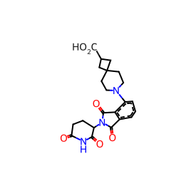 O=C1CCC(N2C(=O)c3cccc(N4CCC5(CC4)CC(C(=O)O)C5)c3C2=O)C(=O)N1